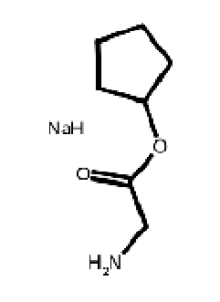 NCC(=O)OC1CCCC1.[NaH]